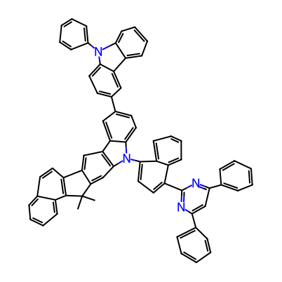 CC1(C)c2cc3c(cc2-c2ccc4ccccc4c21)c1cc(-c2ccc4c(c2)c2ccccc2n4-c2ccccc2)ccc1n3-c1ccc(-c2nc(-c3ccccc3)cc(-c3ccccc3)n2)c2ccccc12